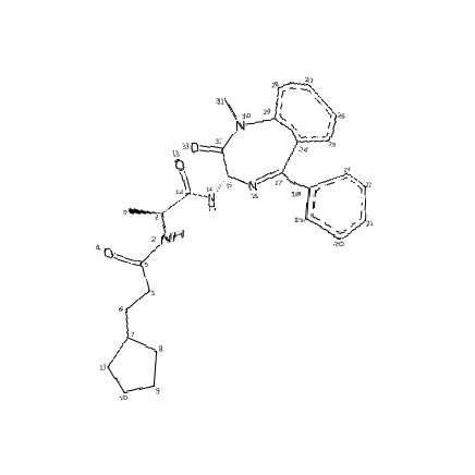 C[C@H](NC(=O)CCC1CCCC1)C(=O)N[C@H]1N=C(c2ccccc2)c2ccccc2N(C)C1=O